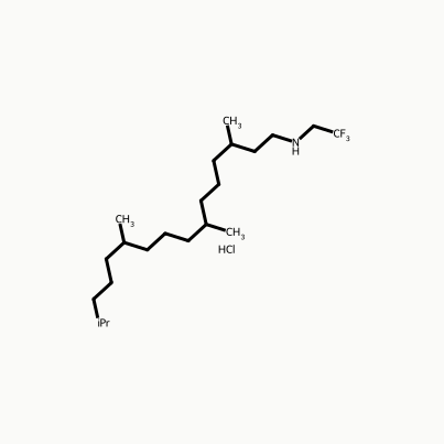 CC(C)CCCC(C)CCCC(C)CCCC(C)CCNCC(F)(F)F.Cl